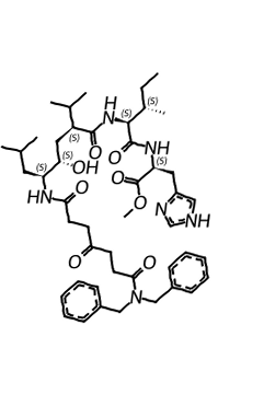 CC[C@H](C)[C@H](NC(=O)[C@@H](C[C@H](O)[C@H](CC(C)C)NC(=O)CCC(=O)CCC(=O)N(Cc1ccccc1)Cc1ccccc1)C(C)C)C(=O)N[C@@H](Cc1c[nH]cn1)C(=O)OC